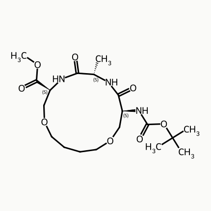 COC(=O)[C@@H]1COCCCCOC[C@H](NC(=O)OC(C)(C)C)C(=O)N[C@@H](C)C(=O)N1